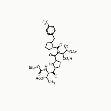 CCC(OC(C)=O)C(C(=O)O)N(C(=O)C1CCC(C(=O)[C@H](NC(=O)OC(C)(C)C)[C@@H](C)OC(C)=O)N1)C(=O)N1CCCC1Cc1ccc(C(F)(F)F)cc1